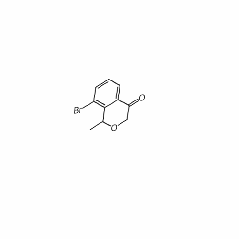 CC1OCC(=O)c2cccc(Br)c21